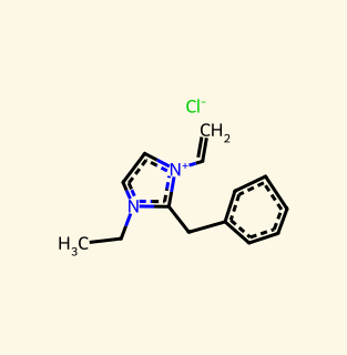 C=C[n+]1ccn(CC)c1Cc1ccccc1.[Cl-]